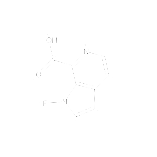 O=C(O)c1nccc2ccn(F)c12